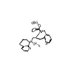 CN(CC1Cc2ncccc2CN1C(=O)OC(C)(C)C)[C@H]1CCCc2cccnc21